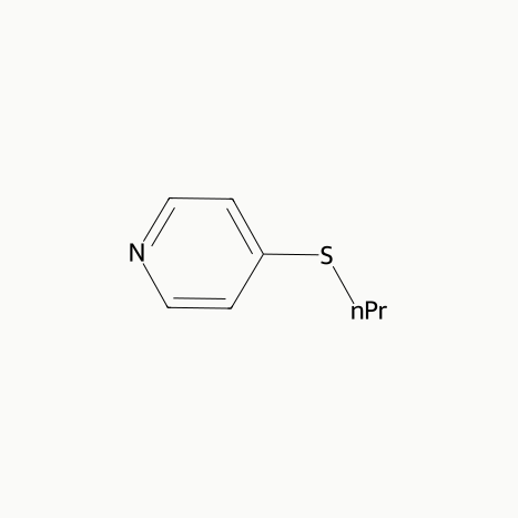 CCCSc1ccncc1